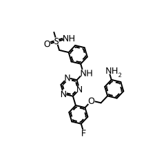 CS(=N)(=O)Cc1cccc(Nc2ncnc(-c3ccc(F)cc3OCc3cccc(N)c3)n2)c1